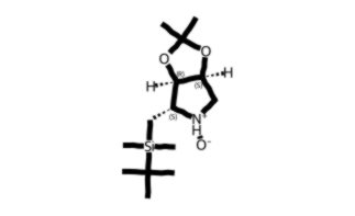 CC1(C)O[C@H]2[C@H](C[NH+]([O-])[C@@H]2C[Si](C)(C)C(C)(C)C)O1